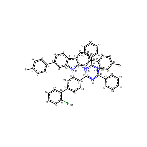 Cc1ccc(-c2ccc3c4ccc(-c5ccc(C)cc5)cc4n(-c4cc(-c5ccccc5F)ccc4-c4nc(-c5ccccc5)nc(-c5ccccc5)n4)c3c2)cc1